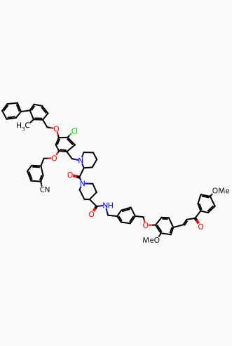 COc1ccc(C(=O)/C=C/c2ccc(OCc3ccc(CNC(=O)C4CCN(C(=O)C5CCCCN5Cc5cc(Cl)c(OCc6cccc(-c7ccccc7)c6C)cc5OCc5cccc(C#N)c5)CC4)cc3)c(OC)c2)cc1